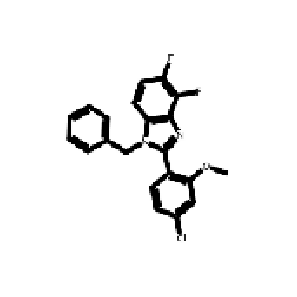 COc1cc(Cl)ccc1-c1nc2c(F)c(F)ccc2n1Cc1ccccc1